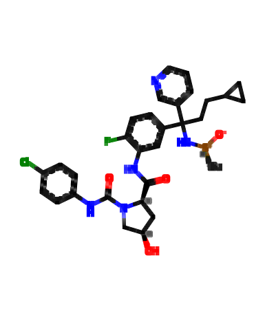 CC(C)(C)[S@+]([O-])NC(CCC1CC1)(c1cccnc1)c1ccc(F)c(NC(=O)[C@H]2C[C@@H](O)CN2C(=O)Nc2ccc(Cl)cc2)c1